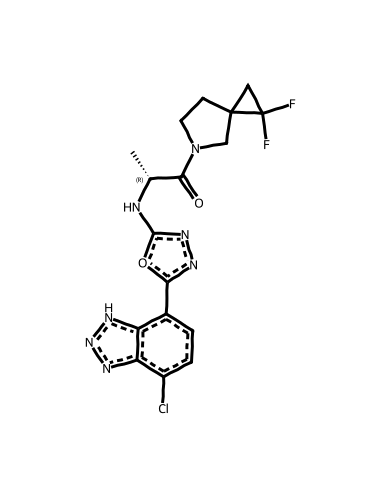 C[C@@H](Nc1nnc(-c2ccc(Cl)c3nn[nH]c23)o1)C(=O)N1CCC2(C1)CC2(F)F